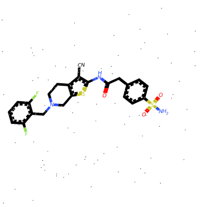 N#Cc1c(NC(=O)Cc2ccc(S(N)(=O)=O)cc2)sc2c1CCN(Cc1c(F)cccc1F)C2